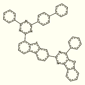 c1ccc(-c2ccc(-c3nc(-c4ccccc4)nc(-c4cccc5c4sc4cc(-c6nc(-c7ccccc7)c7oc8ccccc8c7n6)ccc45)n3)cc2)cc1